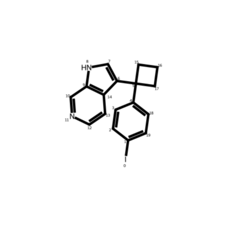 Ic1ccc(C2(c3c[nH]c4cnccc34)CCC2)cc1